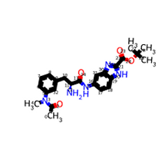 CC(=O)N(C)c1cccc(C[C@H](N)C(=O)Nc2ccc3[nH]c(C(=O)OC(C)(C)C)nc3c2)c1